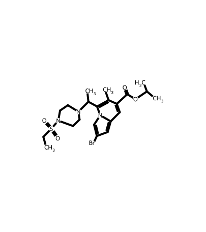 CCS(=O)(=O)N1CCN(C(C)c2c(C)c(C(=O)OC(C)C)cc3cc(Br)cn23)CC1